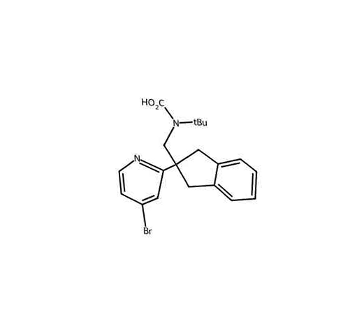 CC(C)(C)N(CC1(c2cc(Br)ccn2)Cc2ccccc2C1)C(=O)O